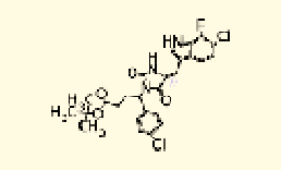 CC(C)(C)OC(=O)CCC(c1ccc(Cl)cc1)N1C(=O)N/C(=C\c2c[nH]c3c(F)c(Cl)ccc23)C1=O